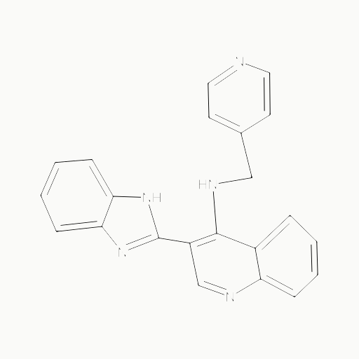 c1ccc2[nH]c(-c3cnc4ccccc4c3NCc3ccncc3)nc2c1